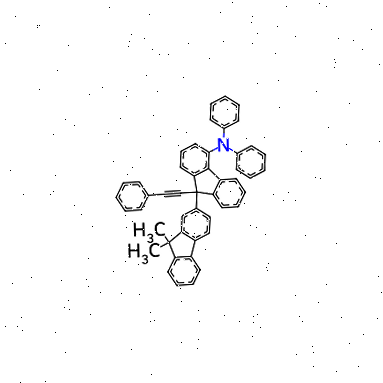 CC1(C)c2ccccc2-c2ccc(C3(C#Cc4ccccc4)c4ccccc4-c4c(N(c5ccccc5)c5ccccc5)cccc43)cc21